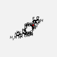 Nc1ncnc2c1ncn2[C@@H]1O[C@@H]2COP(=O)(S)O[C@@H]3[C@H](O)[C@@H](COP(=O)(O)O[C@H]2[C@H]1O)O[C@H]3n1cc(F)c2c(=O)[nH]cnc21